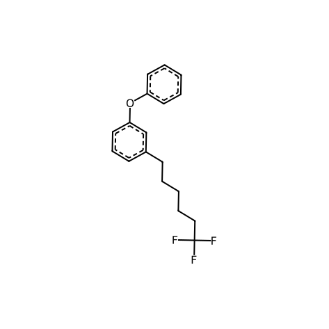 FC(F)(F)CCCCCc1cccc(Oc2ccccc2)c1